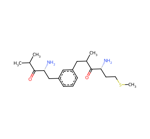 CSCC[C@@H](N)C(=O)C(C)Cc1cccc(C[C@@H](N)C(=O)C(C)C)c1